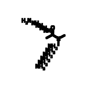 CC(=O)N(C)C.N.N.N.N.N.N.N.N.N.N.N